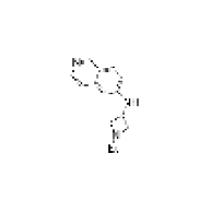 CCN1CC(Nc2ccc3cnccc3c2)C1